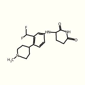 CN1CCC(c2ccc(NC3CCC(=O)NC3=O)cc2C(F)F)CC1